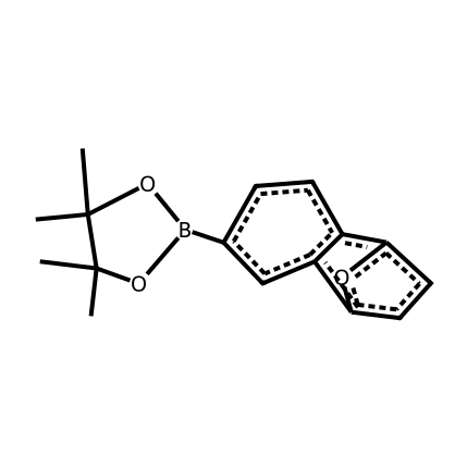 CC1(C)OB(c2ccc3c4ccc(o4)c3c2)OC1(C)C